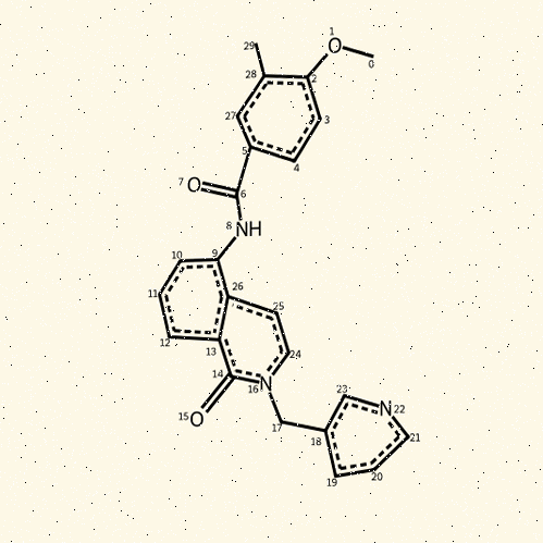 COc1ccc(C(=O)Nc2cccc3c(=O)n(Cc4cccnc4)ccc23)cc1C